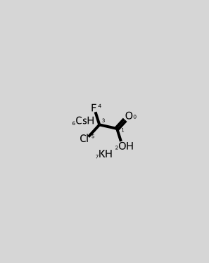 O=C(O)C(F)Cl.[CsH].[KH]